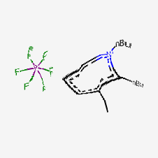 CCCCc1c(C)ccc[n+]1CCCC.F[P-](F)(F)(F)(F)F